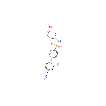 C[C@]1(O)CC[C@@H](NS(=O)(=O)c2ccc(-c3ccc(C#N)cc3F)cc2)CC1